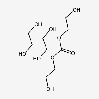 O=C(OCCO)OCCO.OCCO.OCCO